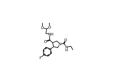 CCNC(=O)N1CC(C(=O)NCC(OC)OC)C(c2ccc(F)cc2)C1